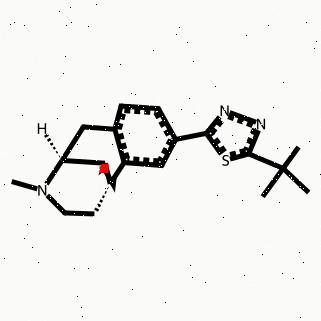 CN1CC[C@@]23CCCCC2[C@@H]1Cc1ccc(-c2nnc(C(C)(C)C)s2)cc13